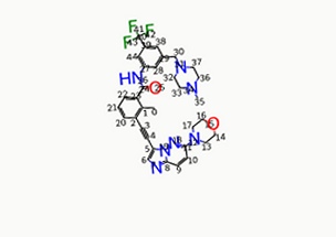 Cc1c(C#Cc2cnc3ccc(N4CCOCC4)nn23)cccc1C(=O)Nc1cc(CN2CCN(C)CC2)cc(C(F)(F)F)c1